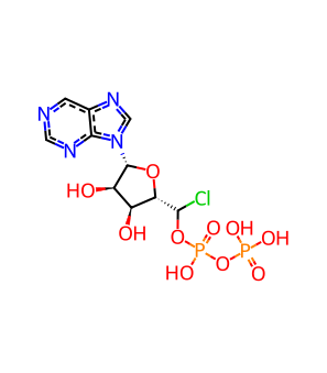 O=P(O)(O)OP(=O)(O)OC(Cl)[C@H]1O[C@@H](n2cnc3cncnc32)[C@H](O)[C@@H]1O